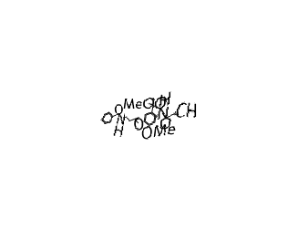 C#CC(=O)Nc1cc(OC)c(OCCCNC(=O)c2ccccc2)cc1C(=O)OC